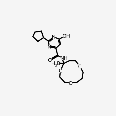 BC1(NC(=O)c2cc(O)nc(C3CCCC3)n2)CCCCCCCCCC1